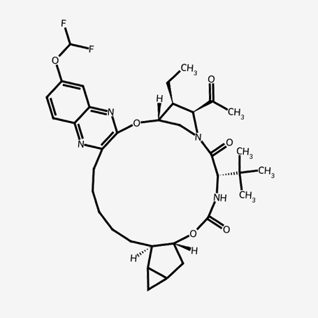 CC[C@@H]1[C@@H]2CN(C(=O)[C@H](C(C)(C)C)NC(=O)O[C@@H]3CC4CC4[C@H]3CCCCCc3nc4ccc(OC(F)F)cc4nc3O2)[C@@H]1C(C)=O